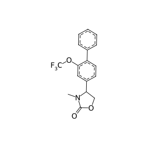 CN1C(=O)OCC1c1ccc(-c2ccccc2)c(OC(F)(F)F)c1